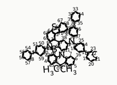 CC1(C)c2ccccc2N2c3cc(N(c4ccc(-c5ccccc5)cc4)c4ccc(-c5ccccc5)cc4)cc4c3B(c3cccc1c32)N(c1ccc(-c2ccccc2)cc1)c1ccc2sc3ccccc3c2c1-4